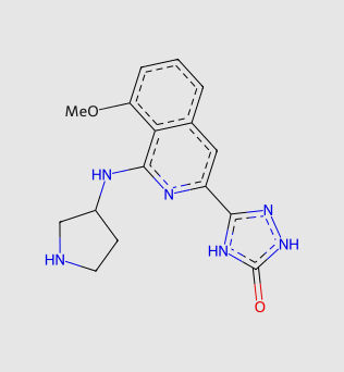 COc1cccc2cc(-c3n[nH]c(=O)[nH]3)nc(NC3CCNC3)c12